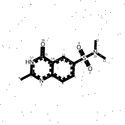 Cc1nc2ccc(S(=O)(=O)N(C)C)cc2c(=O)[nH]1